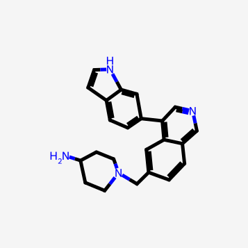 NC1CCN(Cc2ccc3cncc(-c4ccc5cc[nH]c5c4)c3c2)CC1